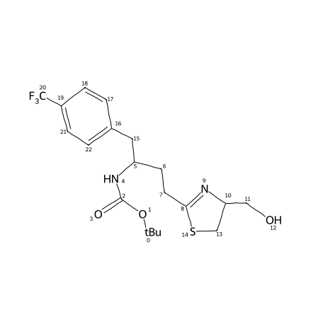 CC(C)(C)OC(=O)NC(CCC1=NC(CO)CS1)Cc1ccc(C(F)(F)F)cc1